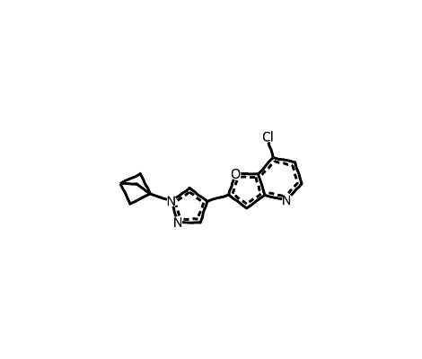 Clc1ccnc2cc(-c3cnn(C45CC(C4)C5)c3)oc12